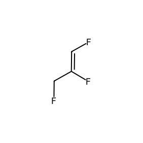 FC=C(F)CF